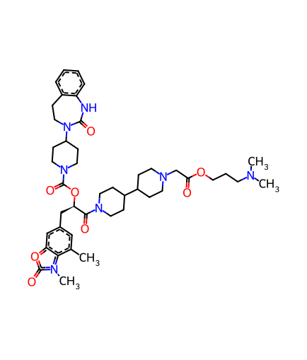 Cc1cc(C[C@@H](OC(=O)N2CCC(N3CCc4ccccc4NC3=O)CC2)C(=O)N2CCC(C3CCN(CC(=O)OCCCN(C)C)CC3)CC2)cc2oc(=O)n(C)c12